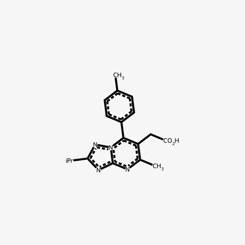 Cc1ccc(-c2c(CC(=O)O)c(C)nc3nc(C(C)C)nn23)cc1